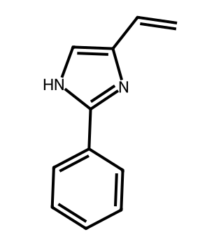 C=Cc1c[nH]c(-c2ccccc2)n1